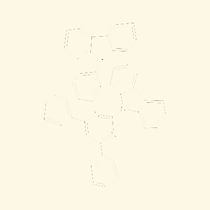 c1ccc(-c2cc(-c3ccccc3)nc(-n3c4ccccc4c4ccc(C5(c6ccccc6)c6ccccc6-c6ccccc65)cc43)n2)cc1